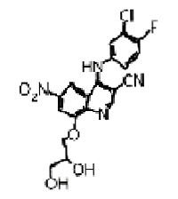 N#Cc1cnc2c(OCC(O)CO)cc([N+](=O)[O-])cc2c1Nc1ccc(F)c(Cl)c1